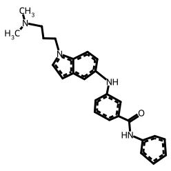 CN(C)CCCn1ccc2cc(Nc3cccc(C(=O)Nc4ccccc4)c3)ccc21